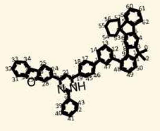 CC1(C)c2cc3c(cc2-c2c(-c4cccc(-c5ccc(C6C=C(c7ccc8c(c7)oc7ccccc78)N=C(c7ccccc7)N6)cc5)c4)cccc21)C1(CCCCC1)c1ccccc1-3